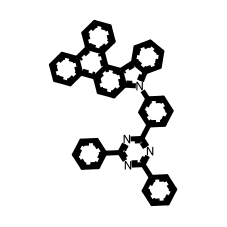 c1ccc(-c2nc(-c3ccccc3)nc(-c3cccc(-n4c5ccccc5c5c6c7ccccc7c7ccccc7c6ccc54)c3)n2)cc1